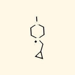 CN1CCP(=O)(CC2CC2)CC1